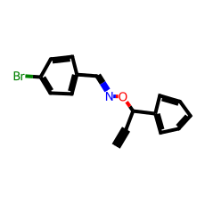 C#CC(O/N=C/c1ccc(Br)cc1)c1ccccc1